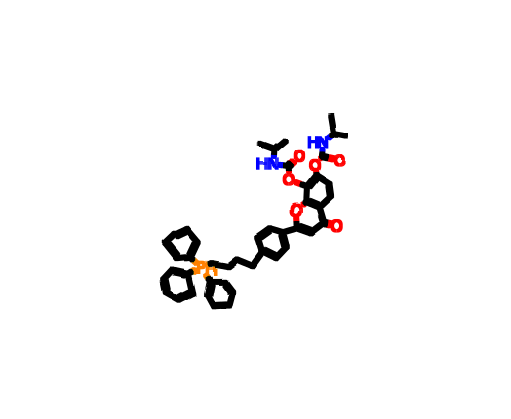 CC(C)NC(=O)Oc1ccc2c(=O)cc(-c3ccc(CCCC[PH](c4ccccc4)(c4ccccc4)c4ccccc4)cc3)oc2c1OC(=O)NC(C)C